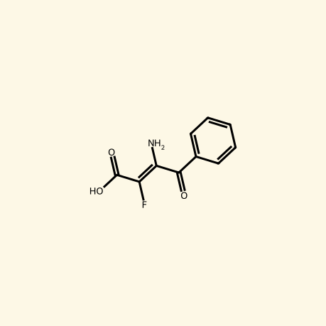 NC(C(=O)c1ccccc1)=C(F)C(=O)O